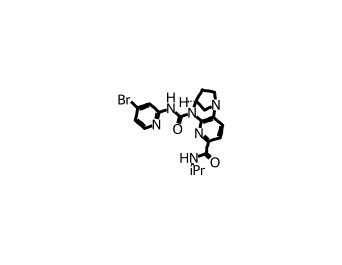 CC(C)NC(=O)c1ccc2c(n1)N(C(=O)Nc1cc(Br)ccn1)[C@H]1CCN2C1